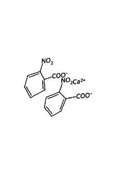 O=C([O-])c1ccccc1[N+](=O)[O-].O=C([O-])c1ccccc1[N+](=O)[O-].[Ca+2]